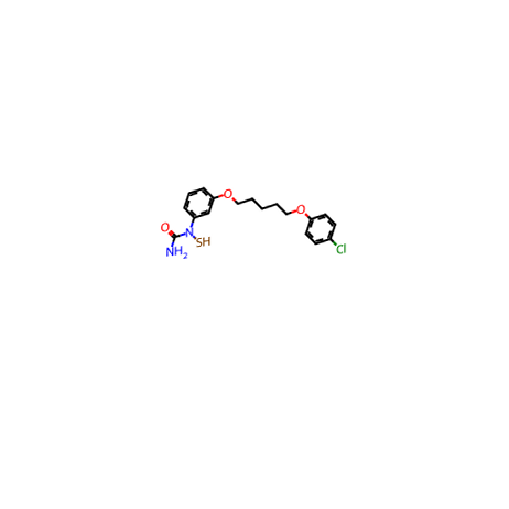 NC(=O)N(S)c1cccc(OCCCCCOc2ccc(Cl)cc2)c1